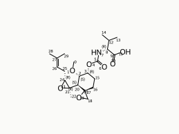 CO[C@@H]1[C@H](OC(=O)N[C@@H](C(=O)O)C(C)C)CC[C@]2(CO2)[C@H]1[C@@]1(C)O[C@@H]1CC=C(C)C